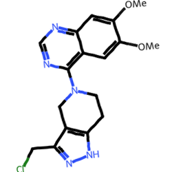 COc1cc2ncnc(N3CCc4[nH]nc(CCl)c4C3)c2cc1OC